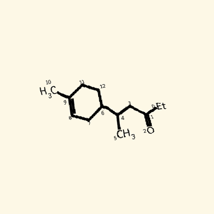 CCC(=O)CC(C)C1CC=C(C)CC1